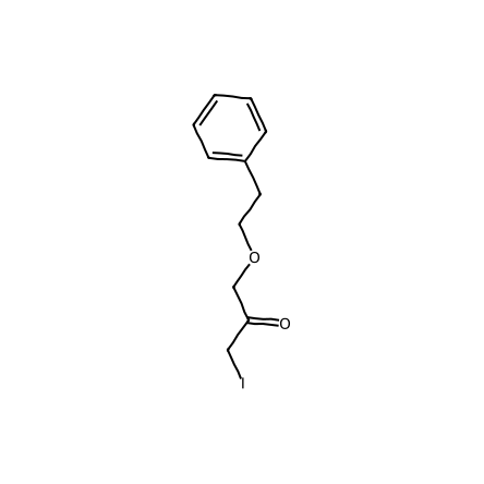 O=C(CI)COCCc1ccccc1